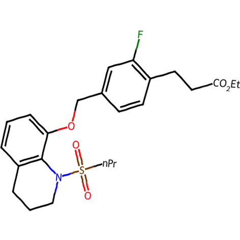 CCCS(=O)(=O)N1CCCc2cccc(OCc3ccc(CCC(=O)OCC)c(F)c3)c21